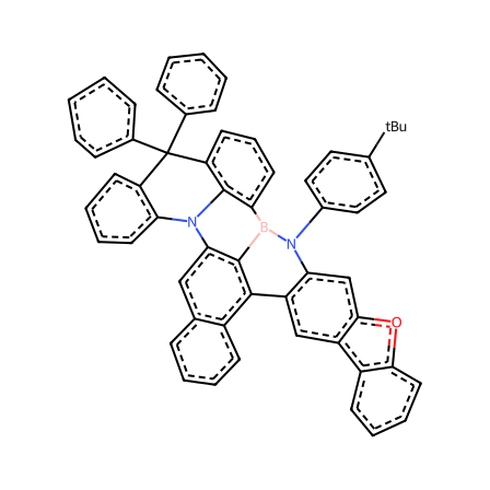 CC(C)(C)c1ccc(N2B3c4cccc5c4N(c4ccccc4C5(c4ccccc4)c4ccccc4)c4cc5ccccc5c(c43)-c3cc4c(cc32)oc2ccccc24)cc1